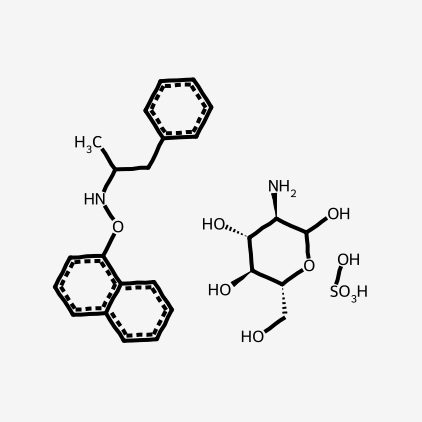 CC(Cc1ccccc1)NOc1cccc2ccccc12.N[C@H]1C(O)O[C@H](CO)[C@@H](O)[C@@H]1O.O=S(=O)(O)O